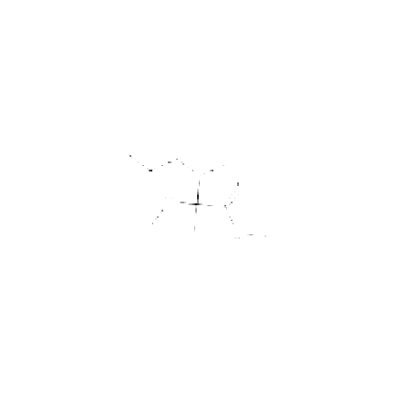 CCCC(C)C(C)(OC)C(=O)OC